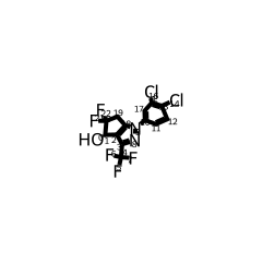 O[C@H]1c2c(C(F)(F)F)nn(-c3ccc(Cl)c(Cl)c3)c2CC1(F)F